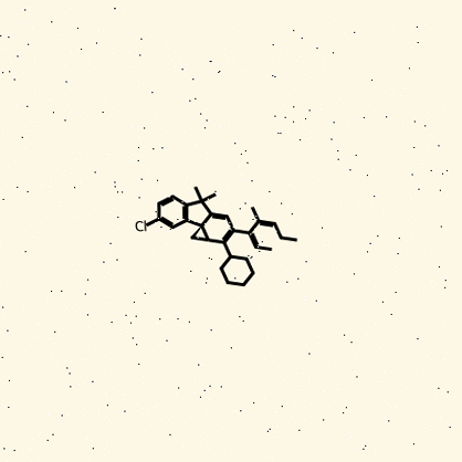 C/C=C(C1=C(C2CCCCC2)C2C[C@@]23C(=C1)C(C)(C)c1ccc(Cl)cc13)\C(C)=C/CC